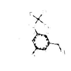 Cl.NCc1cc(Cl)cc(OC(F)(F)F)c1